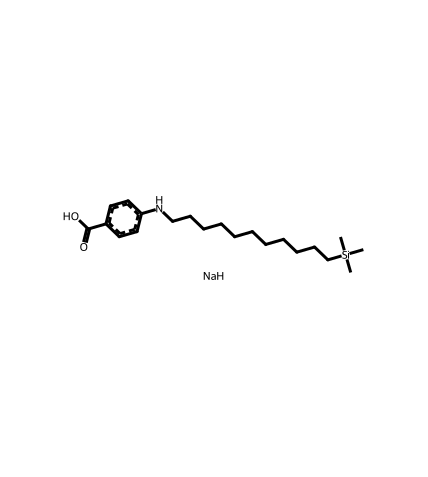 C[Si](C)(C)CCCCCCCCCCCNc1ccc(C(=O)O)cc1.[NaH]